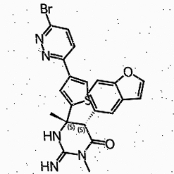 CN1C(=N)N[C@](C)(c2cc(-c3ccc(Br)nn3)cs2)[C@H](c2ccc3occc3c2)C1=O